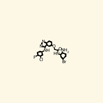 Nc1ccc(Br)cc1NC(=O)COc1ccc2ncnc(Nc3ccc(F)c(Cl)c3)c2c1